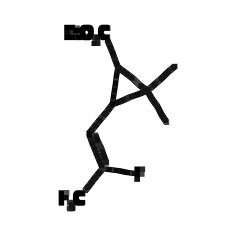 CCOC(=O)C1C(/C=C(\F)C(F)(F)F)C1(C)C